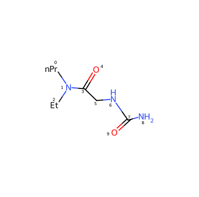 CCCN(CC)C(=O)CNC(N)=O